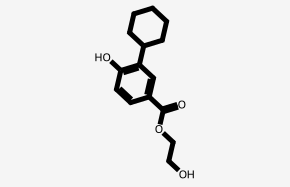 O=C(OCCO)c1ccc(O)c(C2CCCCC2)c1